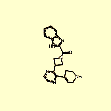 O=C(c1nc2ccccc2[nH]1)N1CC(c2nccnc2C2=CCNCC2)C1